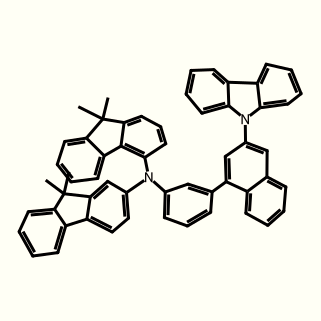 CC1(C)c2ccccc2-c2ccc(N(c3cccc(-c4cc(-n5c6ccccc6c6ccccc65)cc5ccccc45)c3)c3cccc4c3-c3ccccc3C4(C)C)cc21